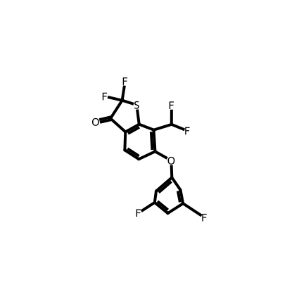 O=C1c2ccc(Oc3cc(F)cc(F)c3)c(C(F)F)c2SC1(F)F